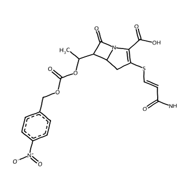 CC(OC(=O)OCc1ccc([N+](=O)[O-])cc1)C1C(=O)N2C(C(=O)O)=C(S/C=C/C(N)=O)CC12